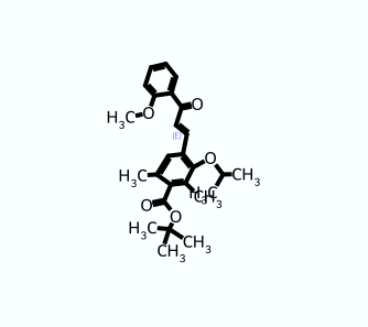 COc1ccccc1C(=O)/C=C/c1cc(C)c(C(=O)OC(C)(C)C)c(C)c1OC(C)C